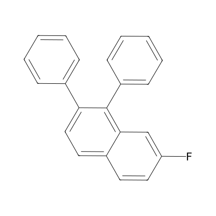 Fc1ccc2ccc(-c3ccccc3)c(-c3ccccc3)c2c1